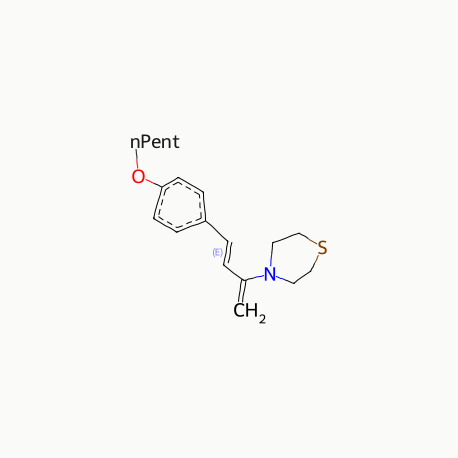 C=C(/C=C/c1ccc(OCCCCC)cc1)N1CCSCC1